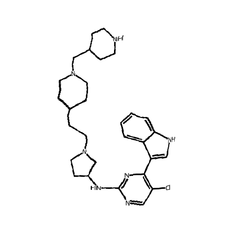 Clc1cnc(NC2CCN(CCC3CCN(CC4CCNCC4)CC3)C2)nc1-c1c[nH]c2ccccc12